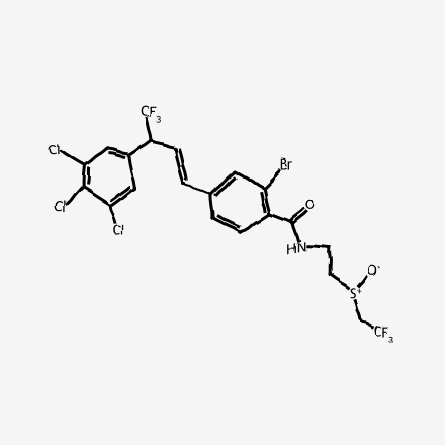 O=C(NCC[S+]([O-])CC(F)(F)F)c1ccc(C=CC(c2cc(Cl)c(Cl)c(Cl)c2)C(F)(F)F)cc1Br